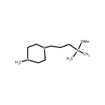 CO[Si](C)(C)CCCN1CCN(C)CC1